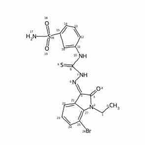 CCN1C(=O)C(=NNC(=S)Nc2cccc(S(N)(=O)=O)c2)c2cccc(Br)c21